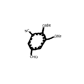 COc1cc(C=O)cc(C#N)c1OC